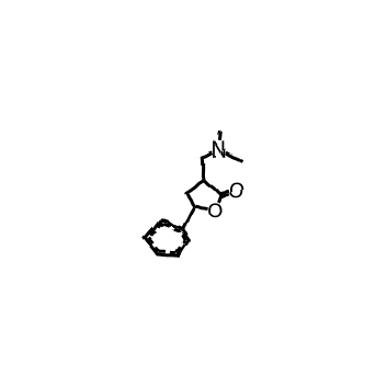 CN(C)CC1CC(c2ccccc2)OC1=O